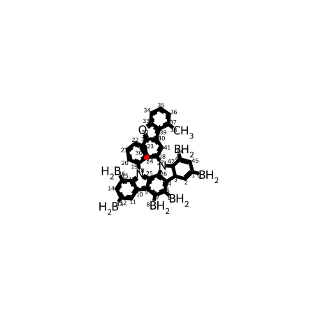 BC1=CC2c3c(B)c(B)c4c5cc(B)cc(B)c5n(-c5ccccc5)c4c3N(c3ccc4oc5cccc(C)c5c4c3)C2C(B)=C1